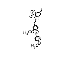 COc1ccc(COc2ccc(CCNc3ccc(I)cc3[N+](=O)[O-])cc2OC)cn1